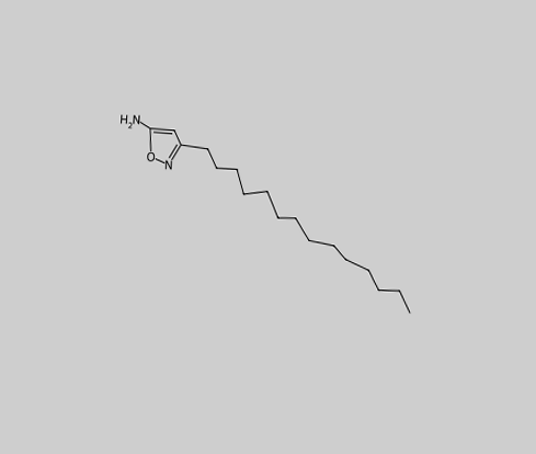 CCCCCCCCCCCCCCc1cc(N)on1